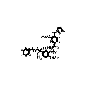 COc1ccc(C(C)(C)COCc2ccccc2)cc1[S+]([O-])NC(=O)c1ccc(Cn2cccn2)c(OC)n1